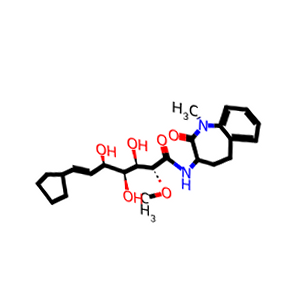 CO[C@@H](C(=O)NC1CCc2ccccc2N(C)C1=O)[C@H](O)[C@@H](O)[C@H](O)/C=C/C1CCCC1